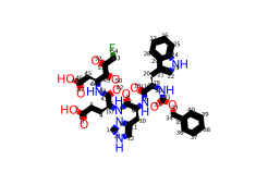 O=C(O)CC[C@H](NC(=O)[C@H](Cc1c[nH]cn1)NC(=O)[C@H](Cc1c[nH]c2ccccc12)NC(=O)OCc1ccccc1)C(=O)N[C@@H](CC(=O)O)C(=O)C(=O)CF